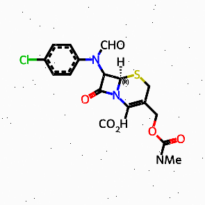 CNC(=O)OCC1=C(C(=O)O)N2C(=O)C(N(C=O)c3ccc(Cl)cc3)[C@H]2SC1